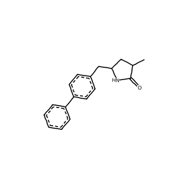 CC1CC(Cc2ccc(-c3ccccc3)cc2)NC1=O